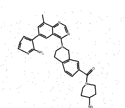 Cc1cc(-c2cccnc2N)cc2c(N3CCc4ccc(C(=O)N5CCC(N)CC5)cc4C3)ncnc12